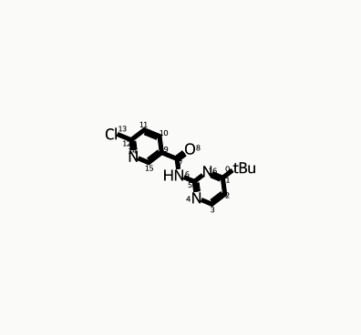 CC(C)(C)c1ccnc(NC(=O)c2ccc(Cl)nc2)n1